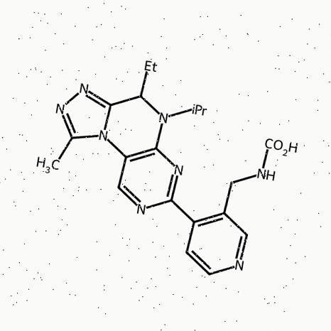 CCC1c2nnc(C)n2-c2cnc(-c3ccncc3CNC(=O)O)nc2N1C(C)C